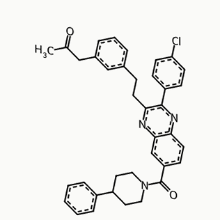 CC(=O)Cc1cccc(CCc2nc3cc(C(=O)N4CCC(c5ccccc5)CC4)ccc3nc2-c2ccc(Cl)cc2)c1